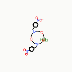 Cl.Cl.O=[N+]([O-])c1ccc(CN2CCOCCOCCN(Cc3ccc([N+](=O)[O-])cc3)CCOCC2)cc1